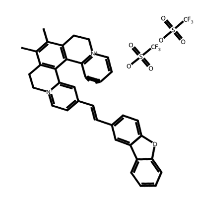 Cc1c(C)c2c(c3c1CC[n+]1ccc(/C=C/c4ccc5oc6ccccc6c5c4)cc1-3)-c1c3ccccc3cc[n+]1CC2.O=S(=O)([O-])C(F)(F)F.O=S(=O)([O-])C(F)(F)F